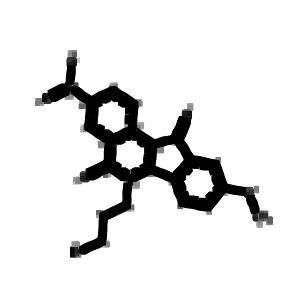 COc1ccc2c(c1)C(=O)c1c-2n(CCCBr)c(=O)c2cc([N+](=O)[O-])ccc12